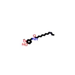 CC/C=C\CCCCCCCC(=O)NCc1ccc(O)c(OC)c1